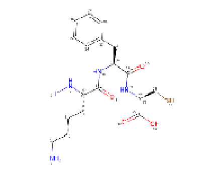 NCCCC[C@H](NI)C(=O)N[C@@H](Cc1ccccc1)C(=O)N[C@@H](CS)C(=O)O